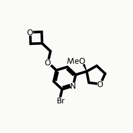 CO[C@@]1(c2cc(OCC3COC3)cc(Br)n2)CCOC1